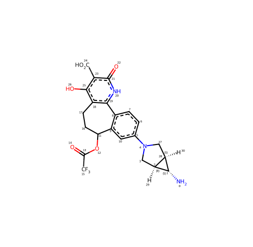 N[C@@H]1[C@H]2CN(c3ccc4c(c3)C(OC(=O)C(F)(F)F)CCc3c-4[nH]c(=O)c(C(=O)O)c3O)C[C@@H]12